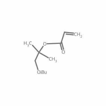 C=CC(=O)OC(C)(C)COCC(C)C